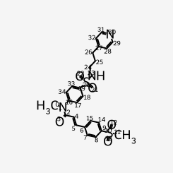 CN(C(=O)C=Cc1ccc(S(C)(=O)=O)cc1)c1ccc(S(=O)(=O)NCCCc2ccncc2)cc1